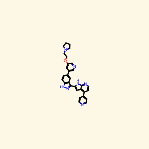 c1cc(-c2ccnc3[nH]c(-c4n[nH]c5ccc(-c6cncc(OCCN7CCCC7)c6)cc45)cc23)ccn1